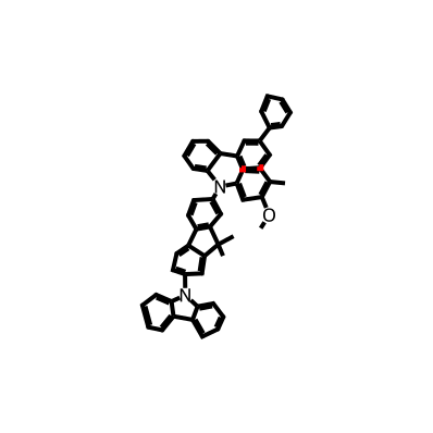 COc1cc(N(c2ccc3c(c2)C(C)(C)c2cc(-n4c5ccccc5c5ccccc54)ccc2-3)c2ccccc2-c2cccc(-c3ccccc3)c2)ccc1C